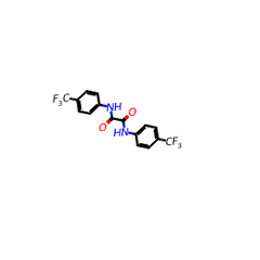 O=C(Nc1ccc(C(F)(F)F)cc1)C(=O)Nc1ccc(C(F)(F)F)cc1